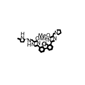 C=C1CC[C@@H](CNCc2ncc(-c3cccc(-c4cccc(-c5cnc(CN6CCCC6)c(OC)n5)c4Cl)c3Cl)nc2OC)N1